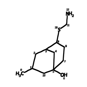 CC1CC2CC(O)(CCC2SCN)C1